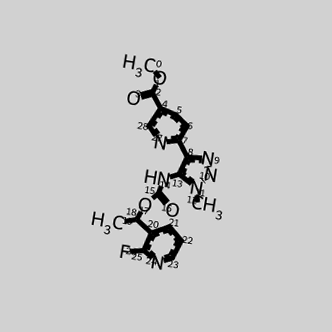 COC(=O)c1ccc(-c2nnn(C)c2NC(=O)OC(C)c2cccnc2F)nc1